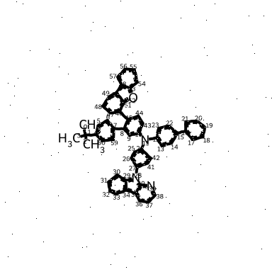 CC(C)(C)c1ccc(-c2cc(N(c3ccc(-c4ccccc4)cc3)c3ccc(-n4c5ccccc5c5cccnc54)cc3)ccc2-c2cccc3c2oc2ccccc23)cc1